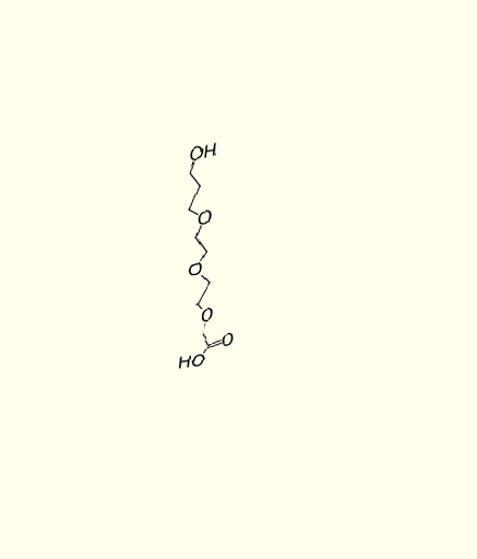 O=C(O)COCCOCCOCCCO